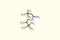 CC(CC(C)(C)C)NCC(C)C(C)(C)C